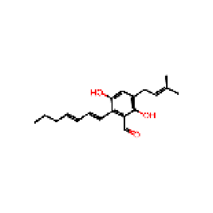 CCCC=CC=Cc1c(O)cc(CC=C(C)C)c(O)c1C=O